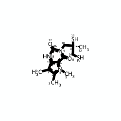 Cc1c(C)n(C)c2c(=O)n(C[C@@](C)(S)CS)c(=O)[nH]c12